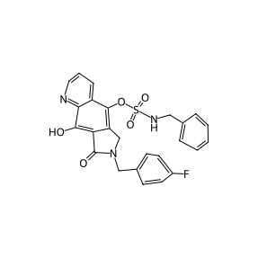 O=C1c2c(c(OS(=O)(=O)NCc3ccccc3)c3cccnc3c2O)CN1Cc1ccc(F)cc1